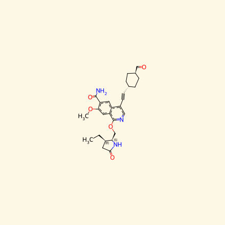 CC[C@@H]1CC(=O)N[C@@H]1COc1ncc(C#C[C@H]2CC[C@H](C=O)CC2)c2cc(C(N)=O)c(OC)cc12